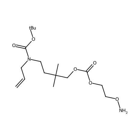 C=CCN(CCC(C)(C)COC(=O)OCCON)C(=O)OC(C)(C)C